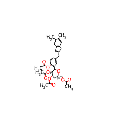 CC(=O)OC[C@@H]1CC(OC(C)=O)[C@@H](OC(C)=O)C(c2cc(CC3=Cc4cc(C)c(C)cc4C3)ccc2OC(C)=O)O1